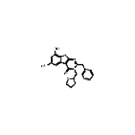 CCCCc1cc(O)c2sc3nc(Cc4ccccc4)n(CC4CCCO4)c(=O)c3c2c1